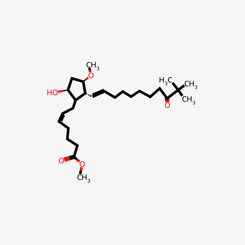 COC(=O)CCC/C=C\CC1[C@@H](/C=C/CCCCCCC(=O)C(C)(C)C)[C@H](OC)C[C@@H]1O